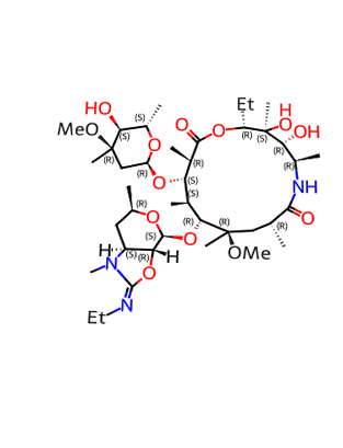 CCN=C1O[C@H]2[C@H](O[C@@H]3[C@@H](C)[C@H](O[C@H]4C[C@@](C)(OC)[C@@H](O)[C@H](C)O4)[C@@H](C)C(=O)O[C@H](CC)[C@@](C)(O)[C@H](O)[C@@H](C)NC(=O)[C@H](C)C[C@@]3(C)OC)O[C@H](C)C[C@@H]2N1C